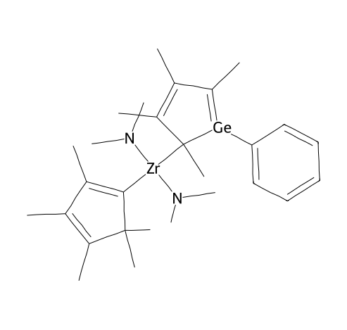 CC1=C(C)C(C)(C)[C]([Zr]([N](C)C)([N](C)C)[C]2(C)C(C)=C(C)[C](C)=[Ge]2[c]2ccccc2)=C1C